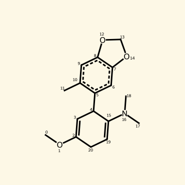 COC1=CC(c2cc3c(cc2C)OCO3)C(N(C)C)=CC1